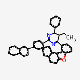 CCC1C(c2cccc3oc4ccc5ccccc5c4c23)=NC(c2ccc(-c3ccc4ccccc4c3)cc2)=NC1c1ccccc1